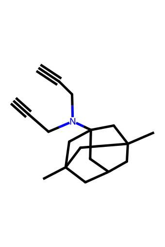 C#CCN(CC#C)C12CC3CC(C)(CC(C)(C3)C1)C2